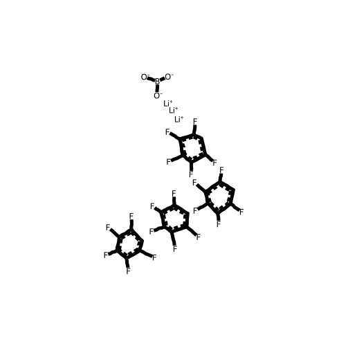 Fc1cc(F)c(F)c(F)c1F.Fc1cc(F)c(F)c(F)c1F.Fc1cc(F)c(F)c(F)c1F.Fc1cc(F)c(F)c(F)c1F.[Li+].[Li+].[Li+].[O-]B([O-])[O-]